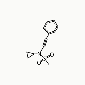 CS(=O)(=O)N(C#Cc1ccccc1)C1CC1